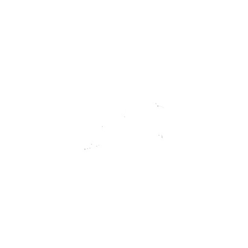 c1ccc(-c2cc3nccnc3s2)cc1